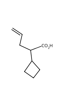 C=CCC(C(=O)O)C1CCC1